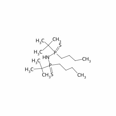 CCCCP(=S)(NP(=S)(CCCC)C(C)(C)C)C(C)(C)C